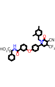 Cc1ccc(Cn2c(-c3ccc(Oc4cccc(C(=O)N[C@@H](C(=O)O)c5ccccc5)c4)cc3)cc(C(F)(F)F)c(C#N)c2=O)c(C)c1